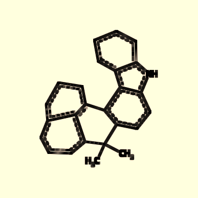 CC1(C)c2ccc3[nH]c4ccccc4c3c2-c2cccc3cccc1c23